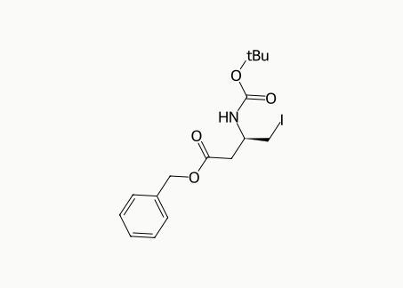 CC(C)(C)OC(=O)N[C@@H](CI)CC(=O)OCc1ccccc1